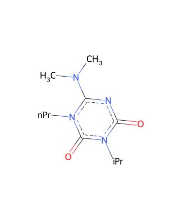 CCCn1c(N(C)C)nc(=O)n(C(C)C)c1=O